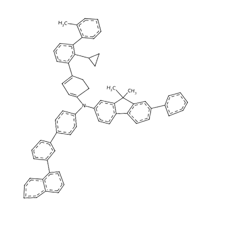 Cc1ccccc1-c1cccc(C2=CC=C(N(c3ccc(-c4cccc(-c5cccc6ccccc56)c4)cc3)c3ccc4c(c3)C(C)(C)c3cc(-c5ccccc5)ccc3-4)CC2)c1C1CC1